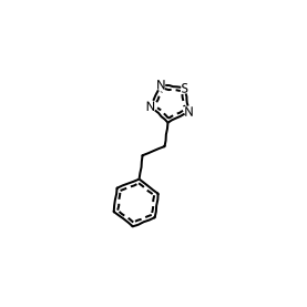 c1ccc(CCc2nnsn2)cc1